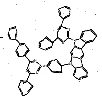 c1ccc(-c2ccc(-c3cc(-c4ccccc4)nc(-c4ccc(-n5c6ccccc6c6cc7c8ccccc8n(-c8nc(-c9ccccc9)nc(-c9ccccc9)n8)c7cc65)cc4)n3)cc2)cc1